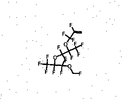 C=C(F)C(F)(F)OC(F)(C(F)(F)F)C(F)(F)OC(F)(C(F)(F)F)C(F)(F)OCF